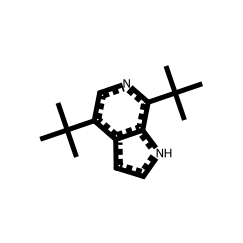 CC(C)(C)c1cnc(C(C)(C)C)c2[nH]ccc12